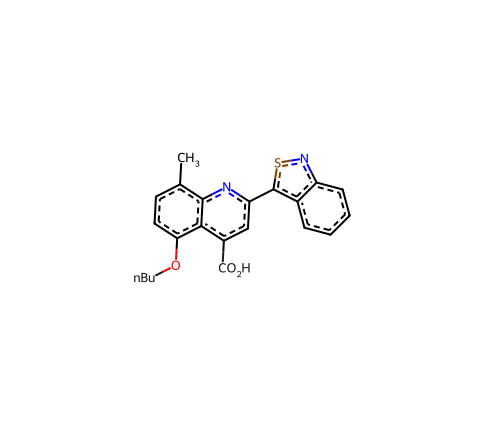 CCCCOc1ccc(C)c2nc(-c3snc4ccccc34)cc(C(=O)O)c12